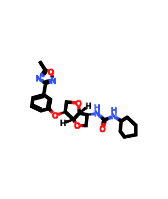 Cc1nc(-c2cccc(O[C@H]3CO[C@H]4[C@@H]3OC[C@@H]4NC(=O)NC3CCCCC3)c2)no1